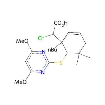 CCCCC1(C(Cl)C(=O)O)C=CCC(C)(C)C1Sc1nc(OC)cc(OC)n1